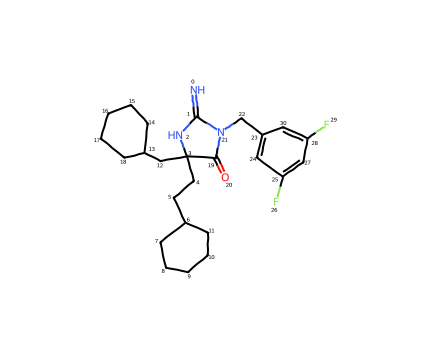 N=C1NC(CCC2CCCCC2)(CC2CCCCC2)C(=O)N1Cc1cc(F)cc(F)c1